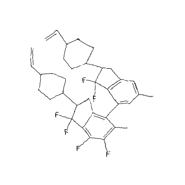 C=CC1CCC(C2Cc3cc(C)cc(-c4c(C)c(F)c(F)c5c4CC(C4CCC(C=C)CC4)C5(F)F)c3C2(F)F)CC1